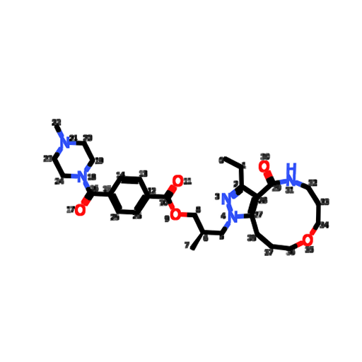 CCc1nn(C[C@@H](C)COC(=O)c2ccc(C(=O)N3CCN(C)CC3)cc2)c2c1C(=O)NCCCOCCC2